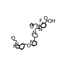 COCCn1ncc2ccc(COc3cccc(C4CCN(Cc5nc6ccc(C(=O)O)c(F)c6n5C[C@@H]5CCO5)CC4)n3)cc21